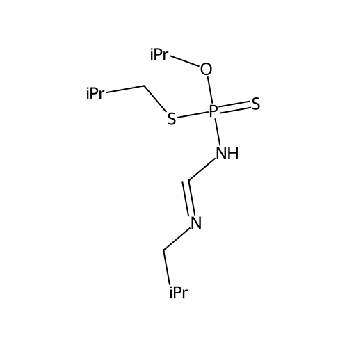 CC(C)CN=CNP(=S)(OC(C)C)SCC(C)C